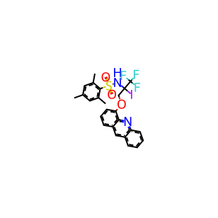 Cc1cc(C)c(S(=O)(=O)NC(I)(COc2cccc3cc4ccccc4nc23)C(F)(F)F)c(C)c1